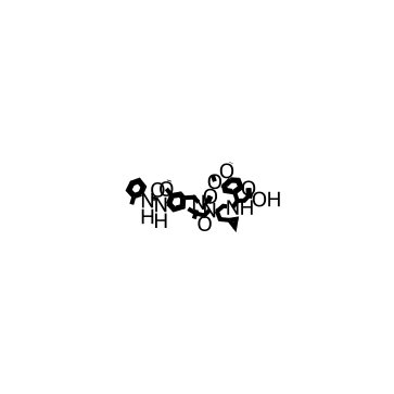 COc1cc(CN2C(=O)N(C(CNC(CC(=O)O)c3ccc(OC)c(OC)c3)CC3CC3)C(=O)C2(C)C)ccc1NC(=O)Nc1ccccc1C